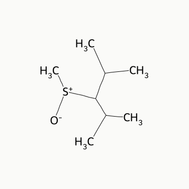 CC(C)C(C(C)C)[S+](C)[O-]